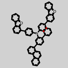 c1ccc(-c2ccc(-c3cccc4c3ccc3ccccc34)cc2N(c2ccc(-c3ccc4oc5ccccc5c4c3)cc2)c2ccc(-c3cccc4c3oc3ccccc34)cc2)cc1